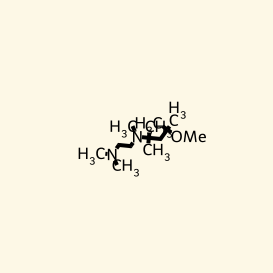 COC(C)(C)CC(C)(C)N(C)CCN(C)C